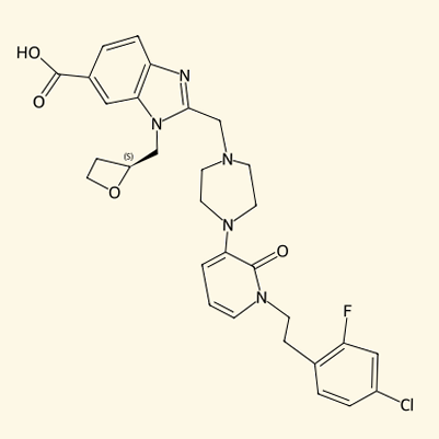 O=C(O)c1ccc2nc(CN3CCN(c4cccn(CCc5ccc(Cl)cc5F)c4=O)CC3)n(C[C@@H]3CCO3)c2c1